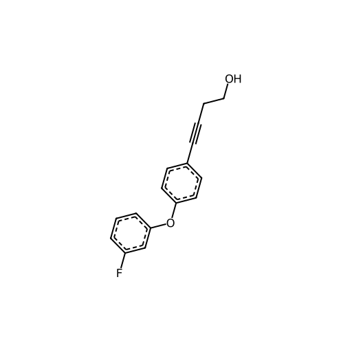 OCCC#Cc1ccc(Oc2cccc(F)c2)cc1